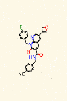 N#Cc1ccc(CNC(=O)c2cc3cc(C4COC4)cnc3n(Cc3ccc(F)cc3)c2=O)cc1